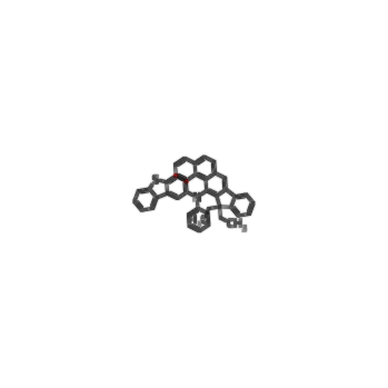 CCC1(CC)c2ccccc2-c2cc3ccc4ccccc4c3c(N(c3ccccc3)c3ccc4sc5ccccc5c4c3)c21